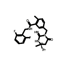 Cc1ccc(CN2C(=N)N[C@](C)(C(C)C)CC2=O)cc1C(=O)NCc1c(F)cccc1F